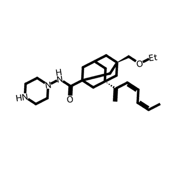 C=C(/C=C\C=C/C)[C@]12CC3CC(C(=O)NN4CCNCC4)(C[C@](COCC)(C3)C1)C2